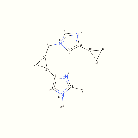 Cc1nc(C2CC2Cn2cnc(C3CC3)c2)cn1C